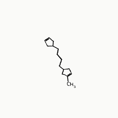 CC1=CCC(CCCCC2CC=CC2)C1